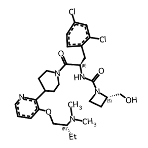 CC[C@H](COc1cccnc1C1CCN(C(=O)[C@@H](Cc2ccc(Cl)cc2Cl)NC(=O)N2CC[C@H]2CO)CC1)N(C)C